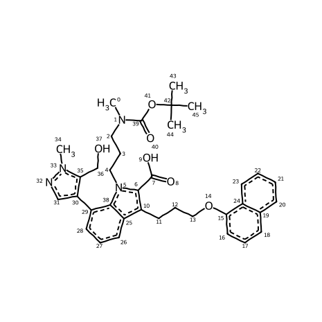 CN(CCCn1c(C(=O)O)c(CCCOc2cccc3ccccc23)c2cccc(-c3cnn(C)c3CO)c21)C(=O)OC(C)(C)C